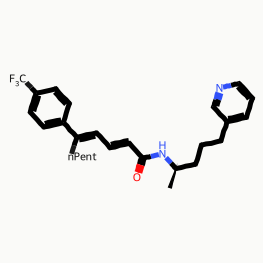 CCCCC/C(=C\C=C\C(=O)N[C@H](C)CCCc1cccnc1)c1ccc(C(F)(F)F)cc1